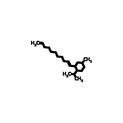 C=CCCCCCCCC=CC1CC(C)CCC1C(C)C